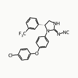 [C-]#[N+]/N=C1\NC[C@@H](c2cccc(C(F)(F)F)c2)N1c1ccc(Oc2ccc(Cl)cc2)cc1